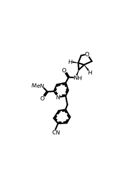 CNC(=O)c1cc(C(=O)N[C@H]2[C@@H]3COC[C@@H]32)cc(Cc2ccc(C#N)cc2)n1